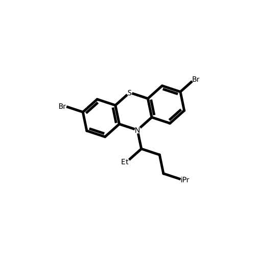 CCC(CCC(C)C)N1c2ccc(Br)cc2Sc2cc(Br)ccc21